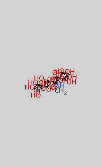 CC(=O)N[C@H]1[C@H](O[C@H]2[C@@H](O)[C@@H](CO)O[C@@H](O[C@H]3[C@H](O)[C@@H](O)[C@@H](O)O[C@@H]3CO)[C@@H]2O)O[C@H](CO)[C@@H](O[C@@H]2O[C@H](CO)[C@H](O)[C@H](O)[C@H]2O)[C@@H]1O